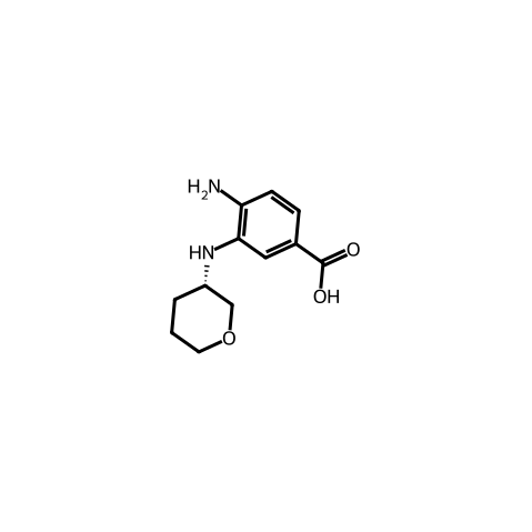 Nc1ccc(C(=O)O)cc1N[C@H]1CCCOC1